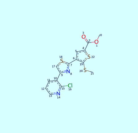 COC(=O)c1cc(-c2nc(-c3cccnc3Cl)cs2)c(SC)s1